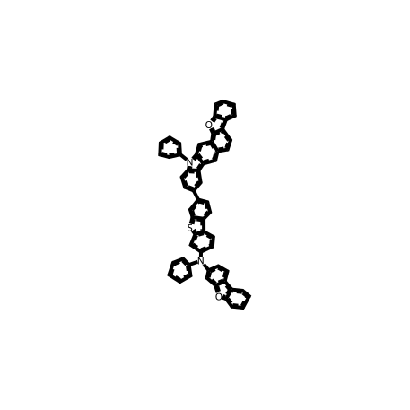 c1ccc(N(c2ccc3c(c2)oc2ccccc23)c2ccc3c(c2)sc2cc(-c4ccc5c(c4)c4cc6ccc7c8ccccc8oc7c6cc4n5-c4ccccc4)ccc23)cc1